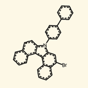 Brc1cc2c(c3ccccc13)c1c3ccccc3ccc1n2-c1ccc(-c2ccccc2)cc1